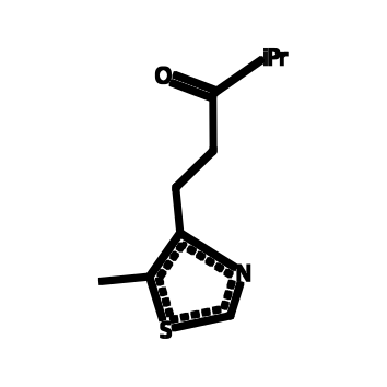 Cc1scnc1CCC(=O)C(C)C